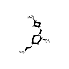 COCC[C@@H]1CCN(C[C@H]2C[C@H](OC)C2)[C@@H](C)C1